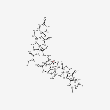 CCOC(=O)O[C@]1(C(=O)COC(=O)CCC23CCC4=CC(=O)CC[C@]4(C)[C@H]2C(=O)C[C@@]2(C)[C@H]3CC[C@]2(OC(=O)OCC)C(=O)COC(C)=O)CCC2C3CCC4=CC(=O)CC[C@]4(C)C3C(=O)C[C@@]21C